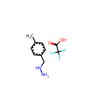 Cc1ccc(CNN)cc1.O=C(O)C(F)(F)F